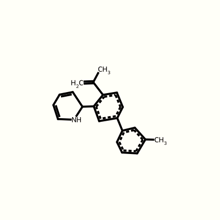 C=C(C)c1ccc(-c2cccc(C)c2)cc1C1C=CC=CN1